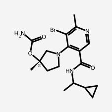 Cc1ncc(C(=O)NC(C)C2CC2)c(N2CC[C@](C)(OC(N)=O)C2)c1Br